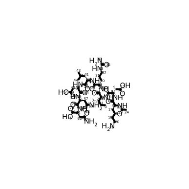 CC[C@H](C)[C@H](NC(=O)[C@H](CC(=O)O)NC(=O)[C@H](CCCCN)NC(C)=O)C(=O)N[C@@H](CCCNC(N)=O)C(=O)N[C@@H](CC(C)C)C(=O)N[C@@H](CC(=O)O)C(=O)N[C@@H](CC(N)=O)C(=O)N[C@@H](CC(N)=O)C(=O)O